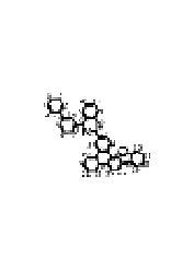 c1ccc(-c2cccc(-c3nc(-c4ccc5c(c4)c4ccccc4c4ccc6c7ccccc7oc6c45)nc4ccccc34)c2)cc1